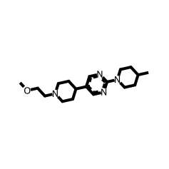 COCCN1CCC(c2cnc(N3CCC(C)CC3)nc2)CC1